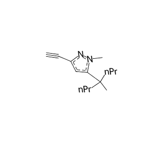 C#Cc1cc(C(C)(CCC)CCC)n(C)n1